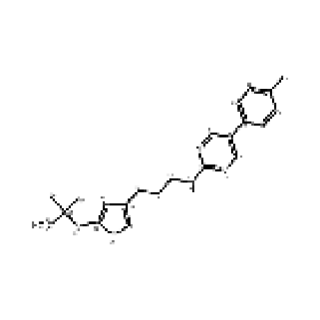 Cc1ccc(-c2cnc(NCCCc3csc(SC(C)(C)C(=O)O)n3)nc2)cc1